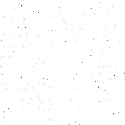 Cc1n[nH]cc1-c1ccc(C(N)=O)c(Oc2cccnc2)c1